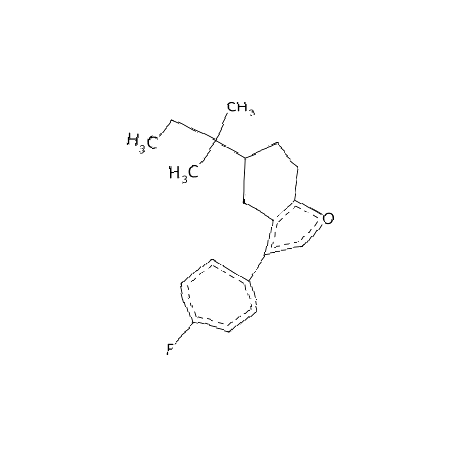 CCC(C)(C)C1CCc2occ(-c3ccc(F)cc3)c2C1